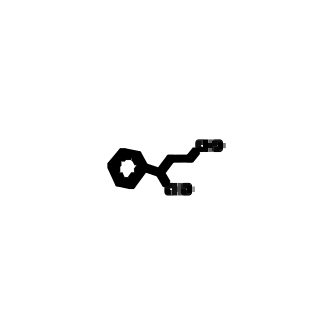 O=[C]CCC([C]=O)c1ccccc1